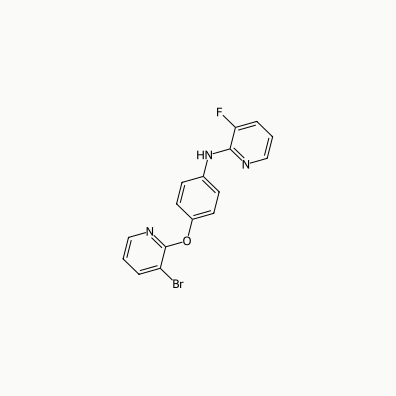 Fc1cccnc1Nc1ccc(Oc2ncccc2Br)cc1